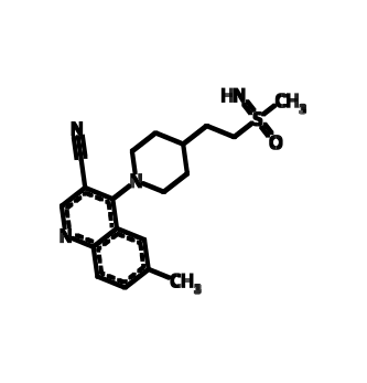 Cc1ccc2ncc(C#N)c(N3CCC(CCS(C)(=N)=O)CC3)c2c1